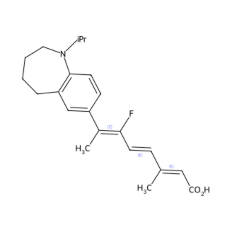 C\C(=C(F)/C=C/C(C)=C/C(=O)O)c1ccc2c(c1)CCCCN2C(C)C